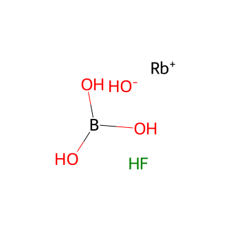 F.OB(O)O.[OH-].[Rb+]